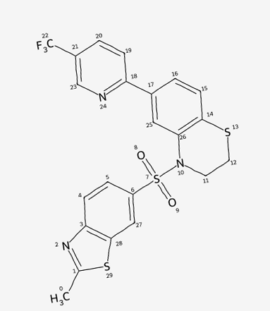 Cc1nc2ccc(S(=O)(=O)N3CCSc4ccc(-c5ccc(C(F)(F)F)cn5)cc43)cc2s1